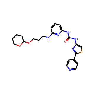 O=C(Nc1cccc(NCCCOC2CCCCO2)n1)Nc1csc(-c2ccncc2)n1